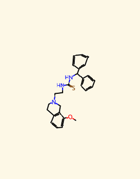 COc1cccc2c1CN(CCNC(=S)NC(c1ccccc1)c1ccccc1)CC2